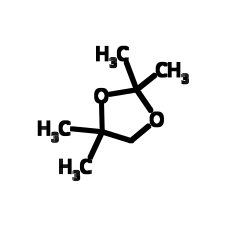 CC1(C)COC(C)(C)O1